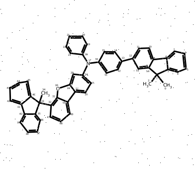 CC1(C)c2ccccc2-c2ccc(-c3ccc(N(c4ccccc4)c4ccc5c(c4)oc4c(C6(C)c7ccccc7-c7ccccc76)cccc45)cc3)cc21